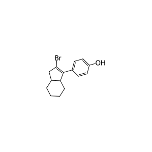 Oc1ccc(C2=C(Br)CC3CCCCC23)cc1